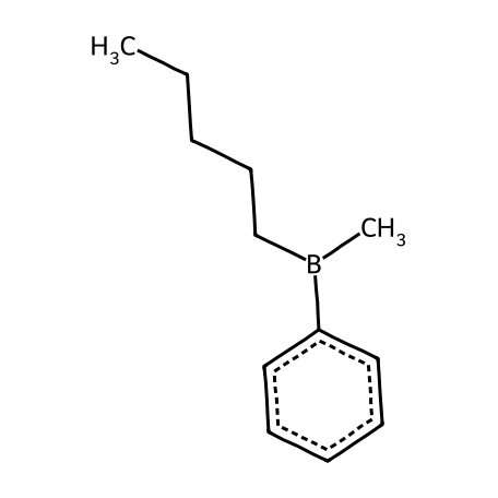 CCCCCB(C)c1ccccc1